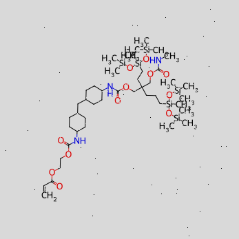 C=CC(=O)OCCOC(=O)NC1CCC(CC2CCC(NC(=O)OCC(CCC[Si](C)(O[Si](C)(C)C)O[Si](C)(C)C)(CC[Si](C)(O[Si](C)(C)C)O[Si](C)(C)C)COC(=O)NC)CC2)CC1